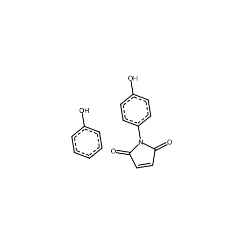 O=C1C=CC(=O)N1c1ccc(O)cc1.Oc1ccccc1